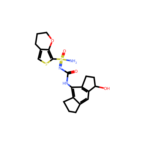 NS(=O)(=NC(=O)Nc1c2c(cc3c1CCC3O)CCC2)c1scc2c1OCCC2